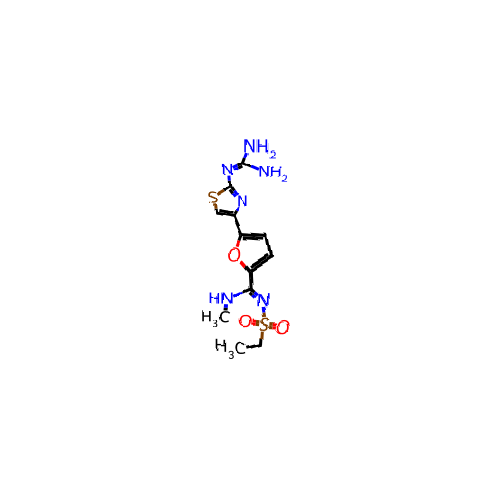 CCS(=O)(=O)N=C(NC)c1ccc(-c2csc(N=C(N)N)n2)o1